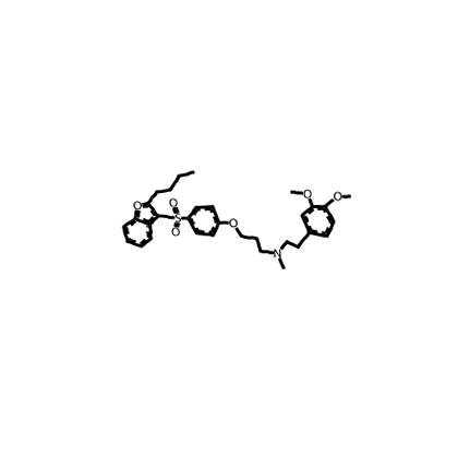 CCCCc1oc2ccccc2c1S(=O)(=O)c1ccc(OCCCN(C)CCc2ccc(OC)c(OC)c2)cc1